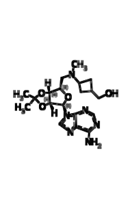 CN(C[C@H]1O[C@@H](n2cnc3c(N)ncnc32)[C@@H]2OC(C)(C)O[C@@H]21)C1CC(CO)C1